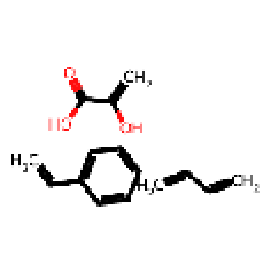 C=C(O)C(=O)O.C=CC=C.C=Cc1ccccc1